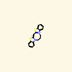 C1=C2/Sc3ccccc3N2CCC[n+]2c/1sc1ccccc12